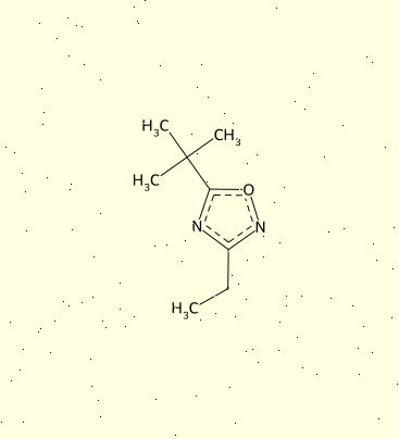 CCc1noc(C(C)(C)C)n1